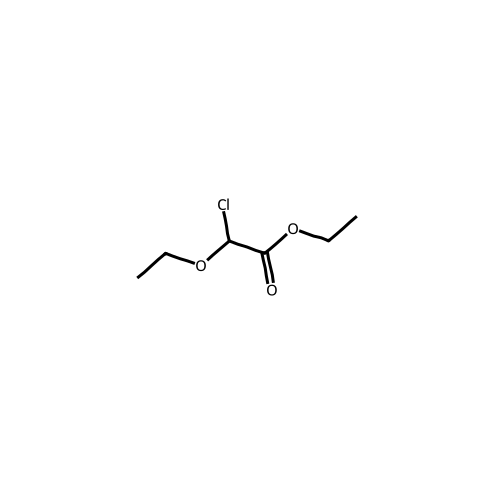 CCOC(=O)C(Cl)OCC